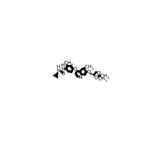 Cc1cc(Oc2ccnc3cc(OC[C@H]4COC(C)(C)O4)c(C)cc23)ccc1NC(=O)NC1CC1